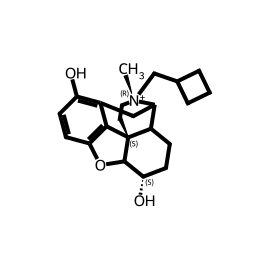 C[N@+]1(CC2CCC2)CC[C@@]23c4c5ccc(O)c4CC1C2CC[C@H](O)C3O5